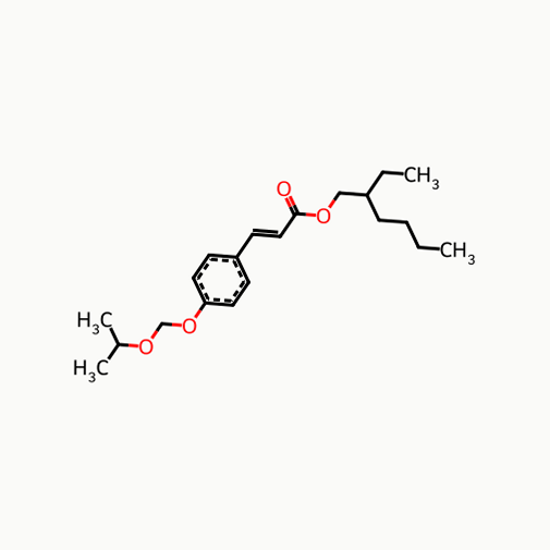 CCCCC(CC)COC(=O)/C=C/c1ccc(OCOC(C)C)cc1